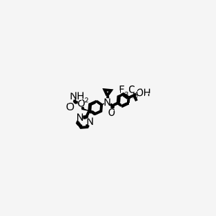 C[C@](O)(c1ccc(C(=O)N(C2CC2)[C@H]2CC[C@@](COC(N)=O)(c3ncccn3)CC2)cc1)C(F)(F)F